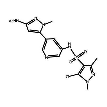 CC(=O)Nc1cc(-c2cncc(NS(=O)(=O)c3c(C)nn(C)c3Cl)c2)n(C)n1